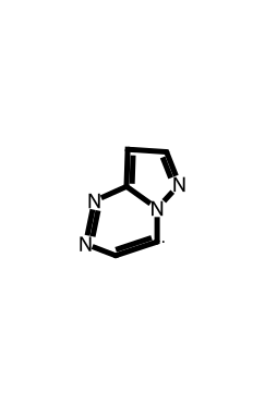 [c]1cnnc2ccnn12